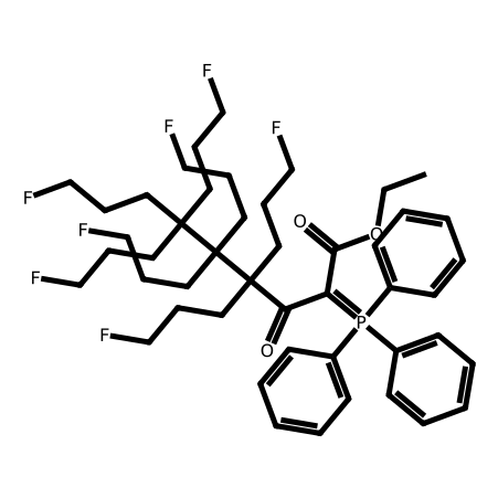 CCOC(=O)C(C(=O)C(CCCF)(CCCF)C(CCCF)(CCCF)C(CCCF)(CCCF)CCCF)=P(c1ccccc1)(c1ccccc1)c1ccccc1